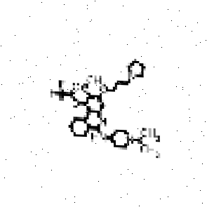 COc1c(OCCCN2CCCC2)cc2nc(NC3CCN(C(C)C)CC3)c3c(c2c1OC(=O)C(F)(F)F)CCCC3